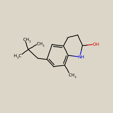 Cc1cc(CC(C)(C)C)cc2c1NC(O)C[C]2